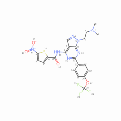 CN(C)CCn1ncc2c(NC(=O)c3ccc([N+](=O)[O-])s3)nc(-c3ccc(OC(F)(F)F)cc3)nc21